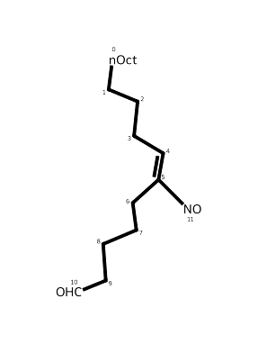 CCCCCCCCCCC/C=C(\CCCCC=O)N=O